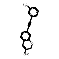 O=CC1=Cc2ccc(C#Cc3cccc(C(F)(F)F)c3)cc2OC1